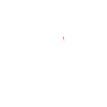 OC1CC[C@H](O)CN(Cc2ccccc2)C1